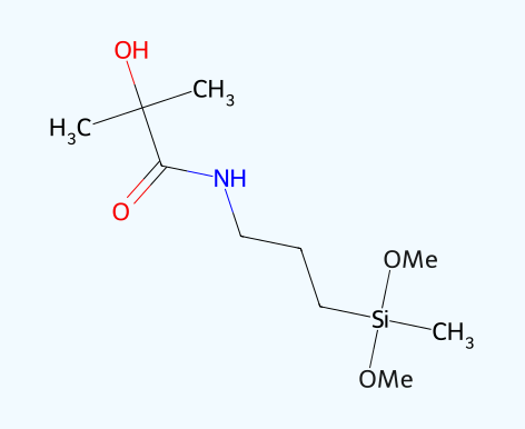 CO[Si](C)(CCCNC(=O)C(C)(C)O)OC